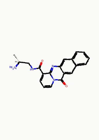 C[C@@H](N)CNC(=O)c1cccn2c(=O)c3cc4ccccc4cc3nc12